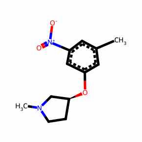 Cc1cc(O[C@H]2CCN(C)C2)cc([N+](=O)[O-])c1